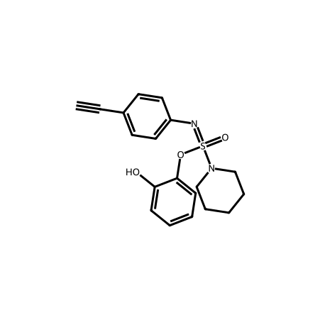 C#Cc1ccc(N=S(=O)(Oc2ccccc2O)N2CCCCC2)cc1